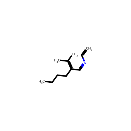 C=C/N=C\C(CCCC)=C(C)C